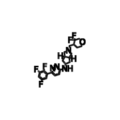 Fc1cc(F)c(F)c(-c2ccc(N[C@H]3C[C@@H]4CN(CC5CCOCC5(F)F)C[C@@H]4C3)nn2)c1